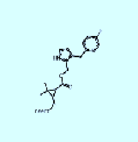 CCCCCOC1C(C(=O)OCc2[nH]ccc2Cc2ccc(F)cc2)C1(C)C